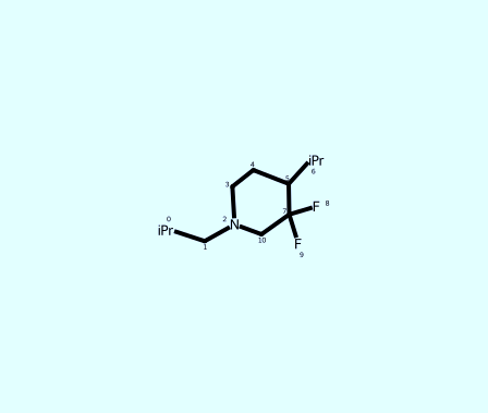 CC(C)CN1CCC(C(C)C)C(F)(F)C1